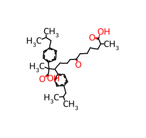 CC(C)Cc1ccc(C(CCCC(=O)CCCCC(C)C(=O)O)C(C)(C(=O)O)c2ccc(CC(C)C)cc2)cc1